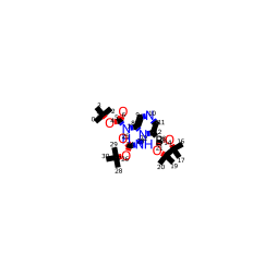 CC(C)(C)OC(=O)NC1=CN=CC(B2OC(C)(C)C(C)(C)O2)N1NC(=O)OC(C)(C)C